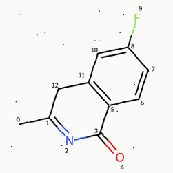 CC1=NC(=O)c2ccc(F)cc2C1